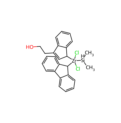 C[SiH](C)[Zr]([Cl])([Cl])([CH]1C=C(CCO)c2ccccc21)[CH]1c2ccccc2-c2ccccc21